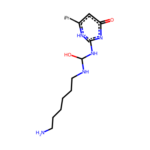 CC(C)c1cc(=O)nc(NC(O)NCCCCCCN)[nH]1